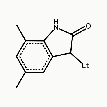 CCC1C(=O)Nc2c(C)cc(C)cc21